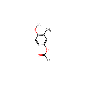 CCC(=O)Oc1ccc(OC(F)(F)F)c(C)c1